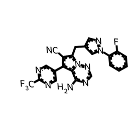 N#Cc1c(-c2cnc(C(F)(F)F)nc2)c2c(N)ncnn2c1Cc1cnn(-c2ccccc2F)c1